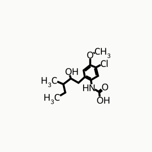 CCC(C)C(O)Cc1cc(OC)c(Cl)cc1NC(=O)O